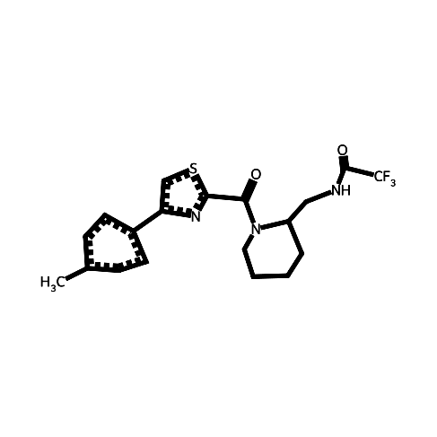 Cc1ccc(-c2csc(C(=O)N3CCCCC3CNC(=O)C(F)(F)F)n2)cc1